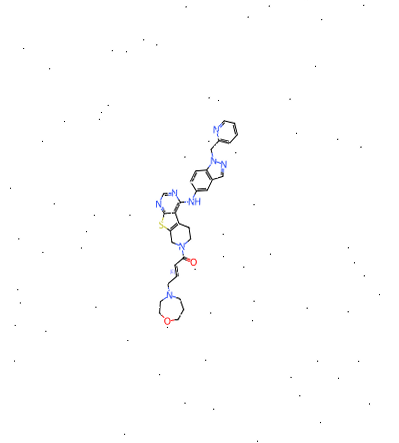 O=C(/C=C/CN1CCCOCC1)N1CCc2c(sc3ncnc(Nc4ccc5c(cnn5Cc5ccccn5)c4)c23)C1